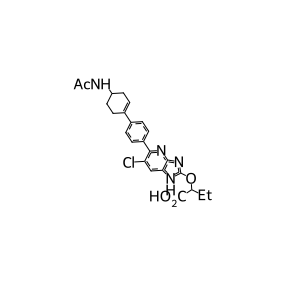 CCC(Oc1nc2nc(-c3ccc(C4=CCC(NC(C)=O)CC4)cc3)c(Cl)cc2[nH]1)C(=O)O